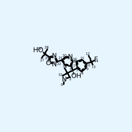 CN1CC(C)([C@](O)(c2ccc(C(C)(C)F)cc2)c2cncc(-c3noc(C(C)(C)O)n3)c2)C1